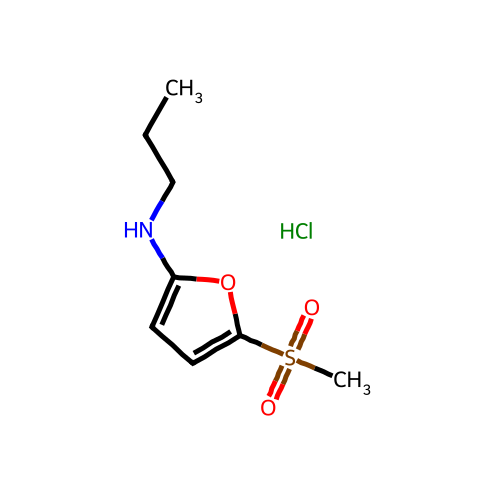 CCCNc1ccc(S(C)(=O)=O)o1.Cl